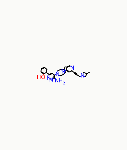 CC1CN(CC#Cc2cc(N3C4CC(C)C3CN(c3cc(-c5ccccc5O)nnc3N)C4)ccn2)C1